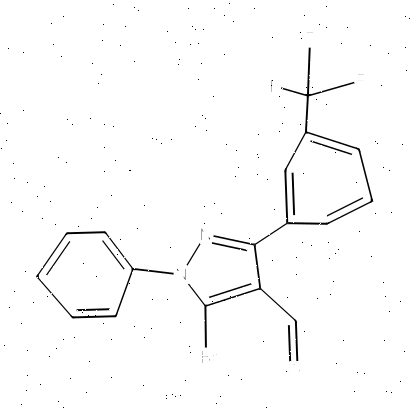 O=Cc1c(-c2cccc(C(F)(F)F)c2)nn(-c2ccccc2)c1Br